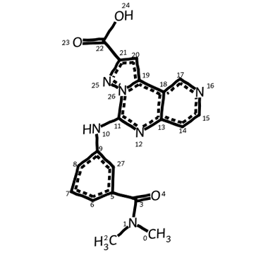 CN(C)C(=O)c1cccc(Nc2nc3ccncc3c3cc(C(=O)O)nn23)c1